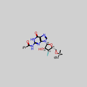 CC(C)C(=O)Nc1nc2c(ncn2[C@@H]2O[C@H](CO[Si](C)(C)C(C)(C)C)[C@@H](F)[C@@H]2O)c(=O)[nH]1